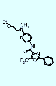 CCOCCN(C)c1ccc(NC(=O)c2nc(-c3ccccc3)oc2C(F)(F)F)cn1